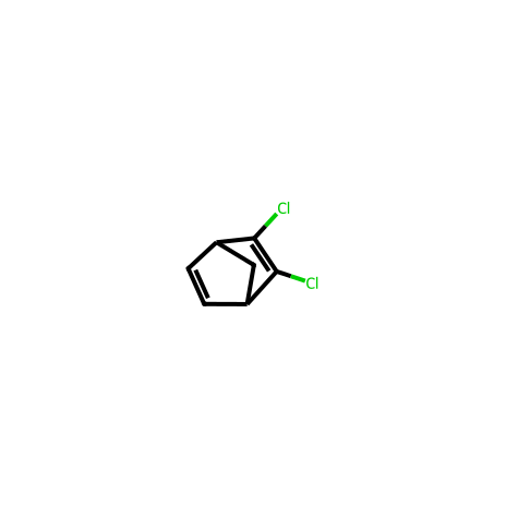 ClC1=C(Cl)C2C=CC1C2